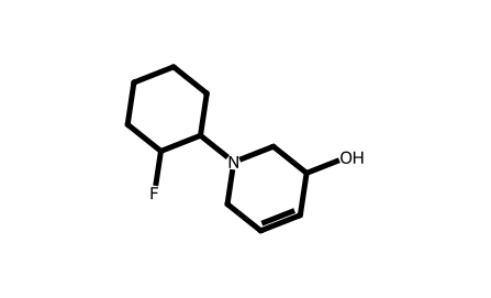 OC1C=CCN(C2CCCCC2F)C1